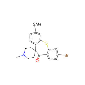 CSc1ccc2c(c1)Sc1cc(Br)ccc1C(=O)C21CCN(C)CC1